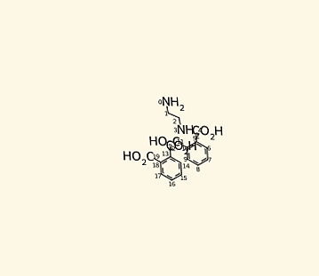 NCCN.O=C(O)c1ccccc1C(=O)O.O=C(O)c1ccccc1C(=O)O